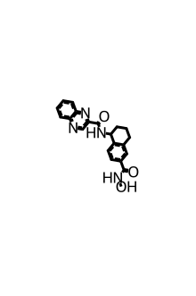 O=C(NO)c1ccc2c(c1)CCCC2NC(=O)c1cnc2ccccc2n1